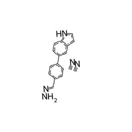 C#N.C#N.NN=Cc1ccc(-c2ccc3[nH]ccc3c2)cc1